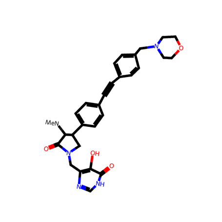 CNC1C(=O)N(Cc2nc[nH]c(=O)c2O)CC1c1ccc(C#Cc2ccc(CN3CCOCC3)cc2)cc1